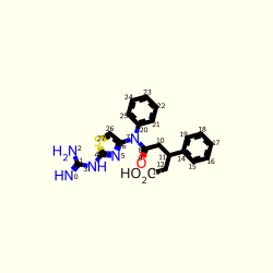 N=C(N)Nc1nc(N(C(=O)CC(CC(=O)O)c2ccccc2)c2ccccc2)cs1